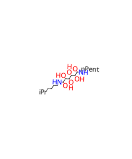 CCCCCNC(=O)C(O)C(O)C(O)C(O)C(=O)NCCCCC(C)C